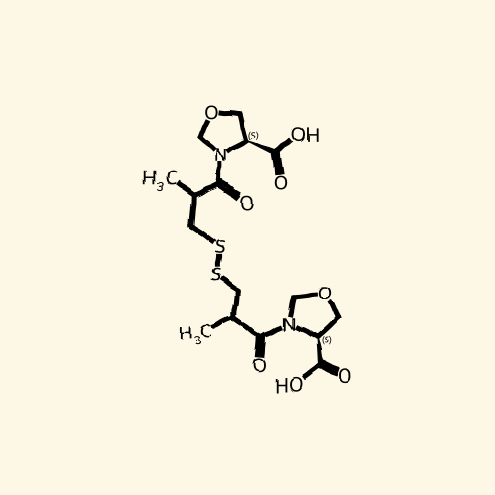 CC(CSSCC(C)C(=O)N1COC[C@H]1C(=O)O)C(=O)N1COC[C@H]1C(=O)O